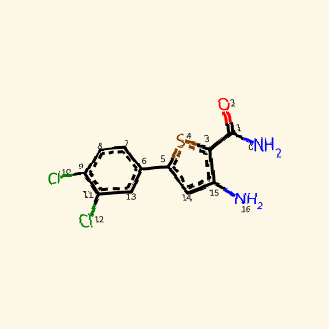 NC(=O)c1sc(-c2ccc(Cl)c(Cl)c2)cc1N